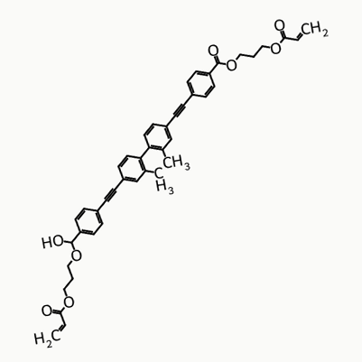 C=CC(=O)OCCCOC(=O)c1ccc(C#Cc2ccc(-c3ccc(C#Cc4ccc(C(O)OCCCOC(=O)C=C)cc4)cc3C)c(C)c2)cc1